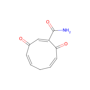 NC(=O)C1=CC(=O)C=CCC=CC1=O